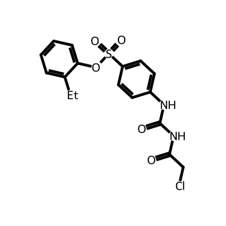 CCc1ccccc1OS(=O)(=O)c1ccc(NC(=O)NC(=O)CCl)cc1